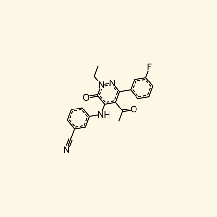 CCn1nc(-c2cccc(F)c2)c(C(C)=O)c(Nc2cccc(C#N)c2)c1=O